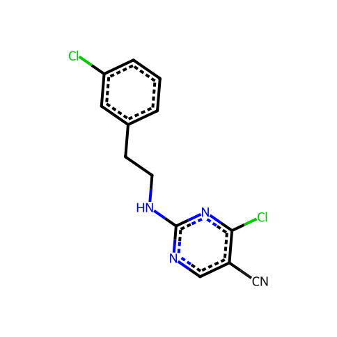 N#Cc1cnc(NCCc2cccc(Cl)c2)nc1Cl